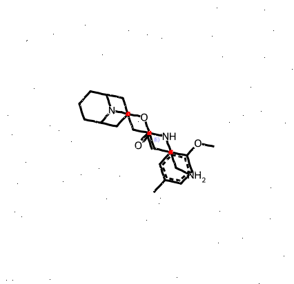 COc1ccc(C)cc1NC(=O)OC1CC2CCCC(C1)N2CC/C=C/CCN